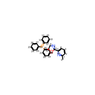 Cc1cccc(C2=N[C@@H](c3ccccc3P(c3ccccc3)c3ccccc3)CO2)n1